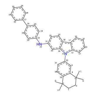 CC1(C)CCC(C)(C)c2cc(-n3c4ccccc4c4ccc(Nc5ccc(-c6ccccc6)cc5)cc43)ccc21